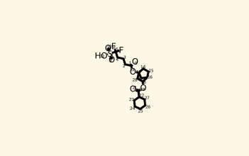 O=C(CCCC(F)(F)S(=O)(=O)O)OC12CCC(C1)C(OC(=O)C1CCCCC1)C2